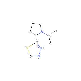 CC(C)N1CCC[C@H]1c1nncs1